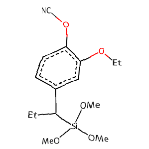 CCOc1cc(C(CC)[Si](OC)(OC)OC)ccc1OC#N